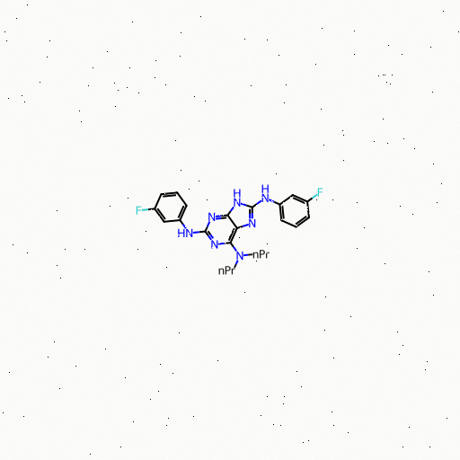 CCCN(CCC)c1nc(Nc2cccc(F)c2)nc2[nH]c(Nc3cccc(F)c3)nc12